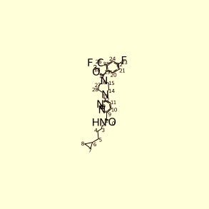 O=C(NCCCC1CC1)c1ccc(N2CCN(C(=O)c3ccc(F)cc3C(F)(F)F)CC2)nn1